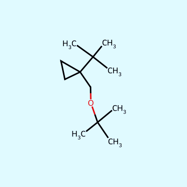 CC(C)(C)OCC1(C(C)(C)C)CC1